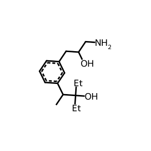 CCC(O)(CC)C(C)c1cccc(CC(O)CN)c1